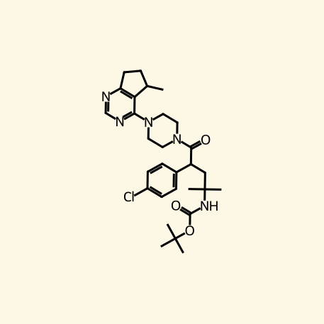 CC1CCc2ncnc(N3CCN(C(=O)C(CC(C)(C)NC(=O)OC(C)(C)C)c4ccc(Cl)cc4)CC3)c21